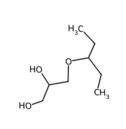 CCC(CC)OCC(O)CO